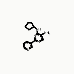 Nc1cnc(-c2cccnc2)nc1NC1CCCC1